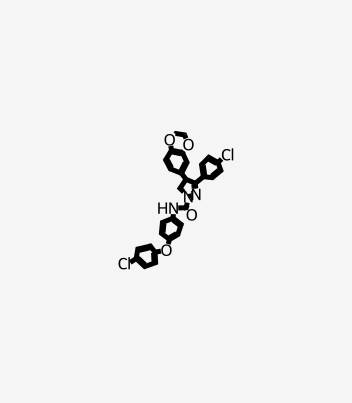 O=C(Nc1ccc(Oc2ccc(Cl)cc2)cc1)N1CC(c2ccc3c(c2)OCCO3)C(c2ccc(Cl)cc2)=N1